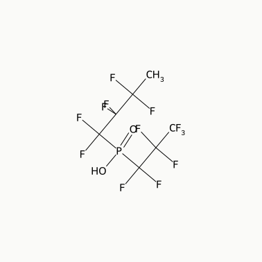 CC(F)(F)C(F)(F)C(F)(F)P(=O)(O)C(F)(F)C(F)(F)C(F)(F)F